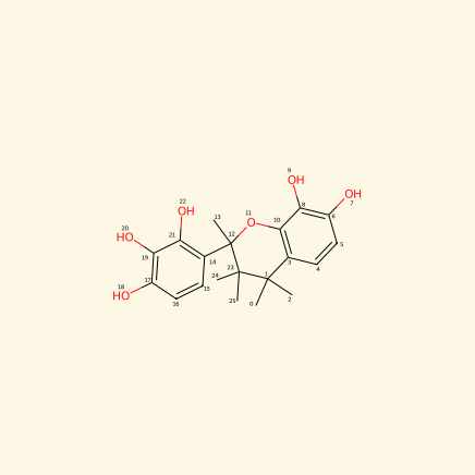 CC1(C)c2ccc(O)c(O)c2OC(C)(c2ccc(O)c(O)c2O)C1(C)C